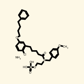 COc1ccc(CN(CCOP(=O)(O)O)C(=O)CCCCc2cc(OCCCCc3ccccc3)ccc2Cl)cc1.N